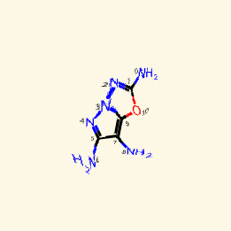 Nc1nn2nc(N)c(N)c2o1